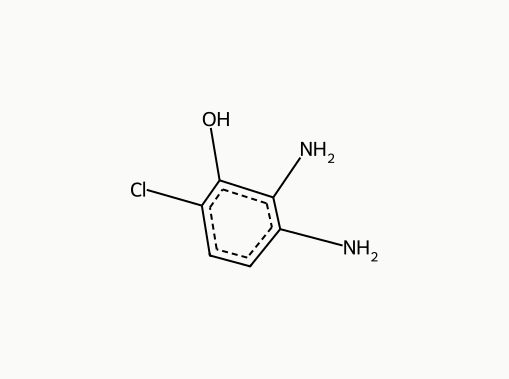 Nc1ccc(Cl)c(O)c1N